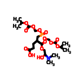 CC(C)OC(=O)OCOP(=O)(CC(CCC(=O)O)C(=O)OCC(O)N(C)C)OCOC(=O)OC(C)C